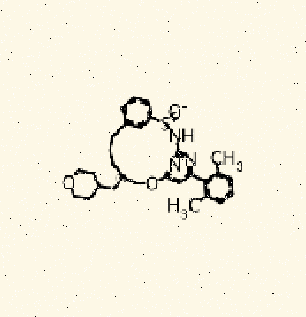 Cc1cccc(C)c1-c1cc2nc(n1)N[S+]([O-])c1cccc(c1)CCC[C@H](CC1CCOCC1)CO2